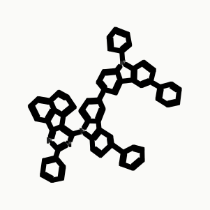 c1ccc(-c2ccc3c(c2)c2cc(-c4ccc5c(c4)c4cc(-c6ccccc6)ccc4n5-c4nc(-c5ccccc5)nc5c4-c4cccc6cccc-5c46)ccc2n3-c2ccccc2)cc1